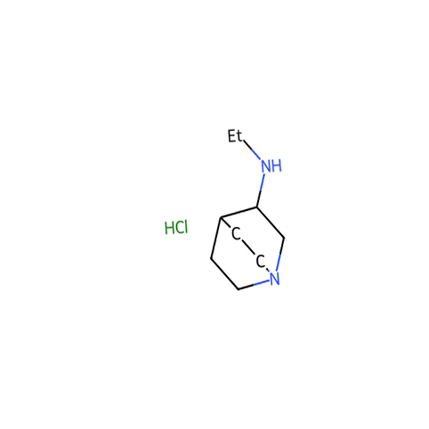 CCNC1CN2CCC1CC2.Cl